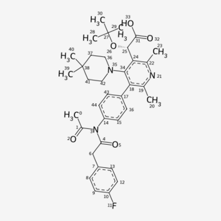 CC(=O)N(C(=O)Cc1ccc(F)cc1)c1ccc(-c2c(C)nc(C)c([C@H](OC(C)(C)C)C(=O)O)c2N2CCC(C)(C)CC2)cc1